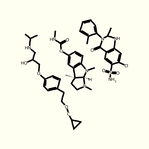 CC(C)NCC(O)COc1ccc(CCOCC2CC2)cc1.CNC(=O)Oc1ccc2c(c1)[C@]1(C)CCN(C)[C@@H]1N2C.Cc1ccccc1N1C(=O)c2cc(S(N)(=O)=O)c(Cl)cc2NC1C